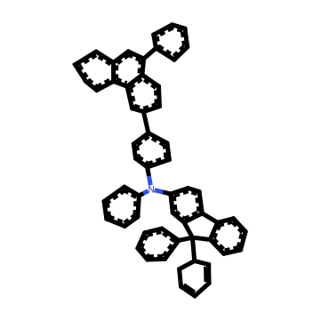 C1=CCC(C2(c3ccccc3)c3ccccc3-c3ccc(N(c4ccccc4)c4ccc(-c5ccc6c(-c7ccccc7)cc7ccccc7c6c5)cc4)cc32)C=C1